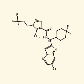 Cc1c(C(=O)N[C@H](c2cn3ncc(Cl)cc3n2)C2CCC(F)(F)CC2)cnn1CCC(F)(F)F